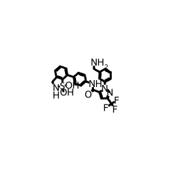 NCc1cccc(-n2nc(C(F)(F)F)cc2C(=O)Nc2ccc(-c3cccc4c3S(O)(O)NC4)cc2)c1